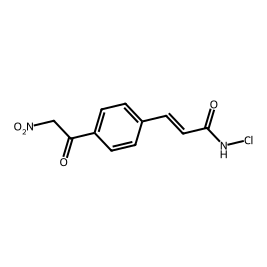 O=C(C=Cc1ccc(C(=O)C[N+](=O)[O-])cc1)NCl